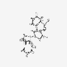 Cc1cc(-c2cnc3ccccn23)ccc1O[C@H](C)c1ccccc1